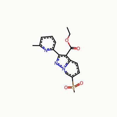 CCOC(=O)c1c(-c2cccc(C)n2)nn2cc(S(C)(=O)=O)ccc12